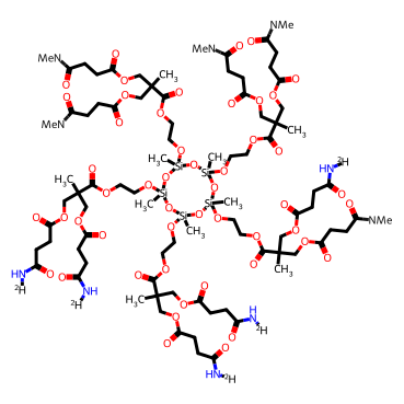 [2H]NC(=O)CCC(=O)OCC(C)(COC(=O)CCC(=O)N[2H])C(=O)OCCO[Si]1(C)O[Si](C)(OCCOC(=O)C(C)(COC(=O)CCC(=O)N[2H])COC(=O)CCC(=O)N[2H])O[Si](C)(OCCOC(=O)C(C)(COC(=O)CCC(=O)NC)COC(=O)CCC(=O)NC)O[Si](C)(OCCOC(=O)C(C)(COC(=O)CCC(=O)NC)COC(=O)CCC(=O)NC)O[Si](C)(OCCOC(=O)C(C)(COC(=O)CCC(=O)N[2H])COC(=O)CCC(=O)NC)O1